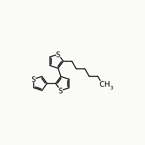 CCCCCCc1sccc1-c1ccsc1-c1ccsc1